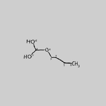 CCCCOC(O)O